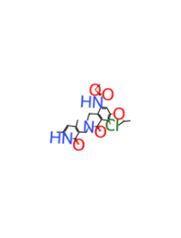 COC(=O)Nc1cc(OC(C)C)c(Cl)c2c1CCN(Cc1c(C)cc(C)[nH]c1=O)C2=O